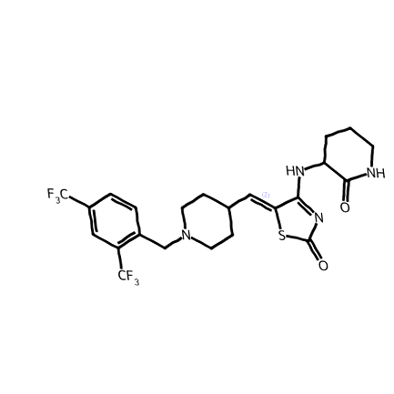 O=C1N=C(NC2CCCNC2=O)/C(=C/C2CCN(Cc3ccc(C(F)(F)F)cc3C(F)(F)F)CC2)S1